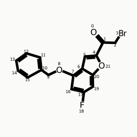 O=C(CBr)c1cc2c(OCc3ccccc3)cc(F)cc2o1